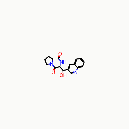 O=CN[C@@H](C(=O)N1CCCC1)[C@@H](O)c1cnc2ccccc2c1